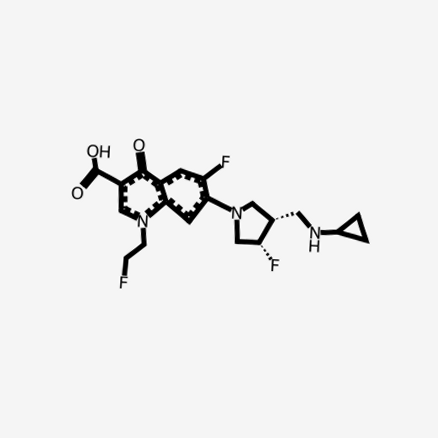 O=C(O)c1cn(CCF)c2cc(N3C[C@H](CNC4CC4)[C@H](F)C3)c(F)cc2c1=O